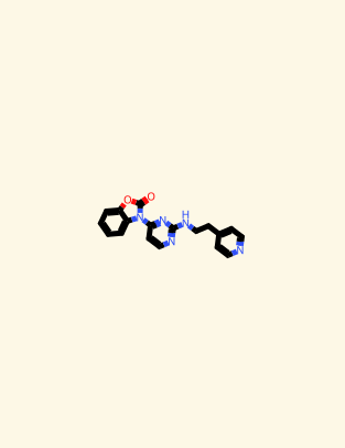 O=c1oc2ccccc2n1-c1ccnc(NCCc2ccncc2)n1